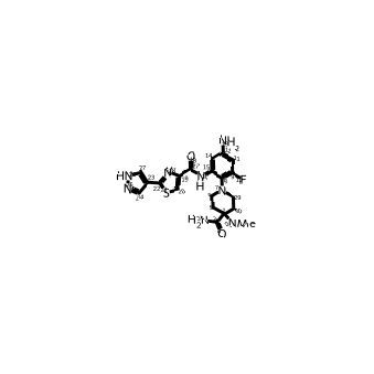 CNC1(C(N)=O)CCN(c2c(F)cc(N)cc2NC(=O)c2csc(-c3cn[nH]c3)n2)CC1